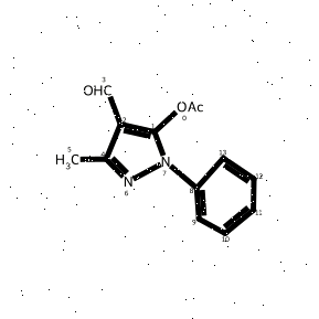 CC(=O)Oc1c(C=O)c(C)nn1-c1ccccc1